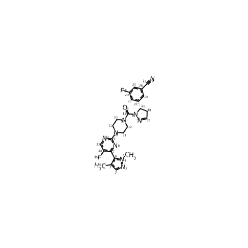 Cc1cnn(C)c1-c1nc(N2CCN(C(=O)N3N=CC[C@H]3c3cc(F)cc(C#N)c3)CC2)ncc1F